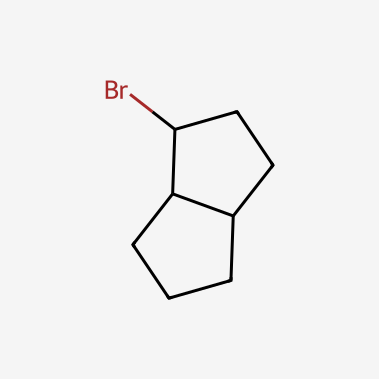 BrC1CCC2CCCC12